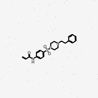 C=CC(=O)Nc1ccc(S(=O)(=O)N2CCN(CCc3ccccc3)CC2)cc1